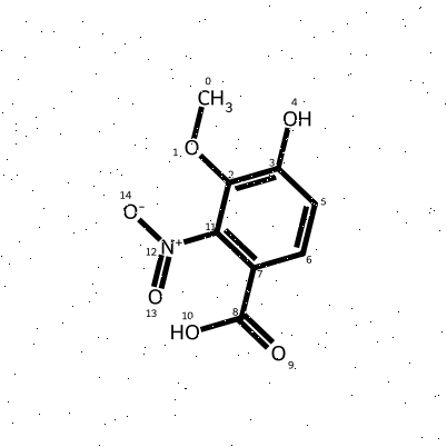 COc1c(O)ccc(C(=O)O)c1[N+](=O)[O-]